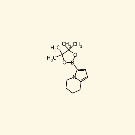 CC1(C)OB(c2ccc3n2CCCC3)OC1(C)C